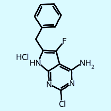 Cl.Nc1nc(Cl)nc2[nH]c(Cc3ccccc3)c(F)c12